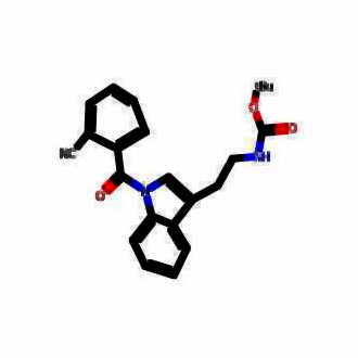 CC(C)(C)OC(=O)NCCc1cn(C(=O)c2ccccc2C#N)c2ccccc12